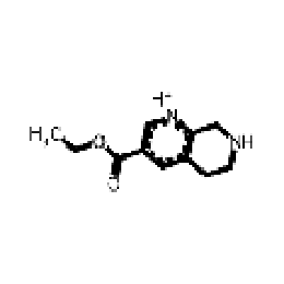 CCOC(=O)c1cnc2c(c1)CCNC2.[H+]